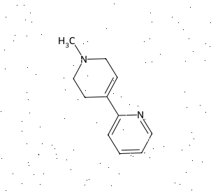 CN1CC=C(c2cc[c]cn2)CC1